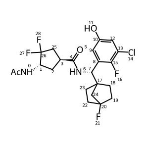 CC(=O)N[C@H]1C[C@H](C(=O)N[C@H](c2cc(O)cc(Cl)c2F)C23CCC(F)(CC2)C3)CC1(F)F